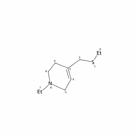 CCSCC1=CCN(CC)CC1